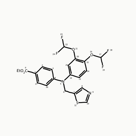 CCOC(=O)c1ccc(N(Cc2cncs2)c2ccc(OC(F)F)c(OC(F)F)c2)cc1